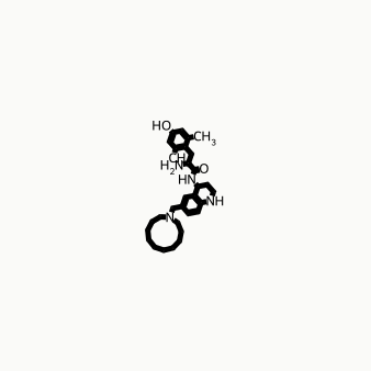 Cc1cc(O)cc(C)c1CC(N)C(=O)NC1CCNc2ccc(CN3CCCCCCCCCC3)cc21